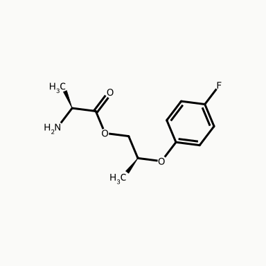 C[C@H](N)C(=O)OC[C@H](C)Oc1ccc(F)cc1